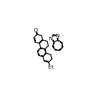 CCC1=Cc2ccc3c(c2CC1)CCC1=C3C=CC(=O)C1.c1ccc2ncnc-2cc1